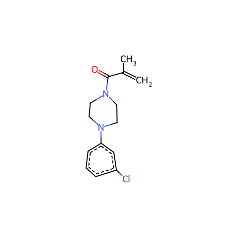 C=C(C)C(=O)N1CCN(c2cccc(Cl)c2)CC1